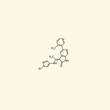 CCn1cc(N/C(C)=C2\C(=O)Nc3cnc(-c4cnccc4C)cc32)cn1